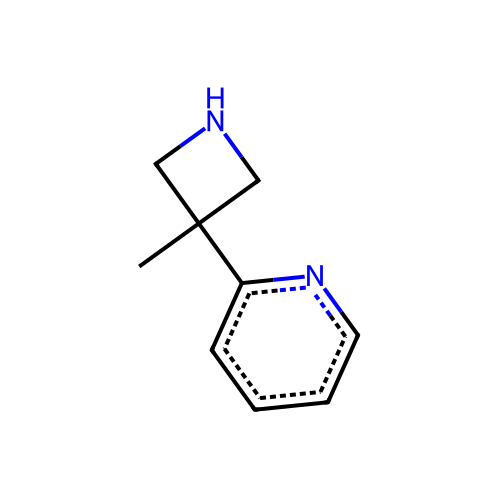 CC1(c2ccccn2)CNC1